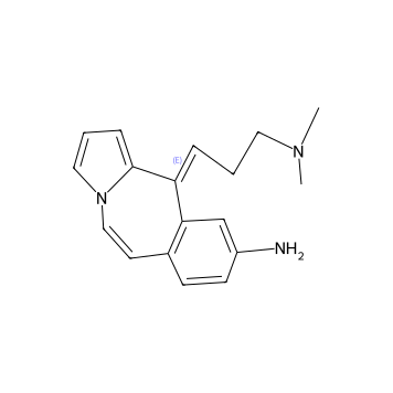 CN(C)CC/C=C1\c2cc(N)ccc2C=Cn2cccc21